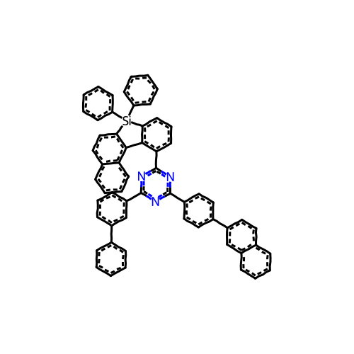 c1ccc(-c2cccc(-c3nc(-c4ccc(-c5ccc6ccccc6c5)cc4)nc(-c4cccc5c4-c4c(ccc6ccccc46)[Si]5(c4ccccc4)c4ccccc4)n3)c2)cc1